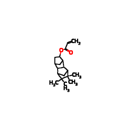 C=CC(=O)OC1CC2CC1C1C2C2CC1C(C)(C)C2(C)C